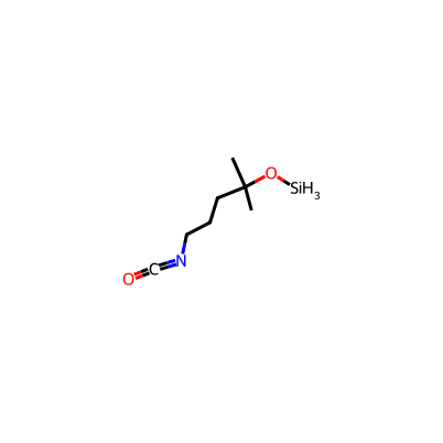 CC(C)(CCCN=C=O)O[SiH3]